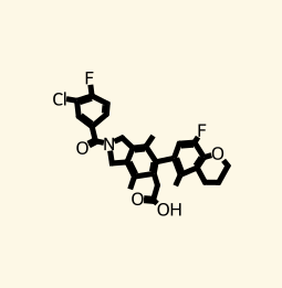 Cc1c(-c2c(C)c3c(c(C)c2CC(=O)O)CN(C(=O)c2ccc(F)c(Cl)c2)C3)cc(F)c2c1CCCO2